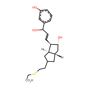 O=C(O)CSCCC1C[C@H]2C[C@@H](O)[C@H](C=CC(O)c3cccc(O)c3)[C@@H]2C1